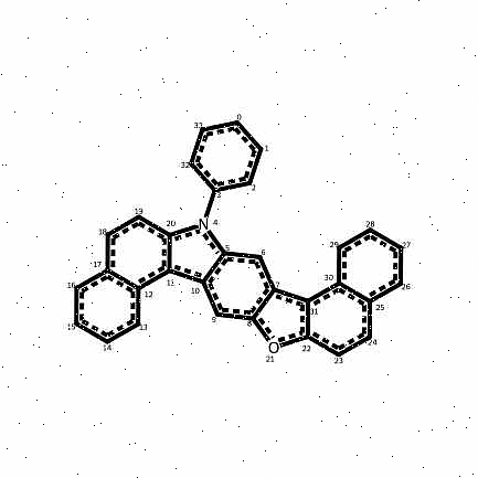 c1ccc(-n2c3cc4c(cc3c3c5ccccc5ccc32)oc2ccc3ccccc3c24)cc1